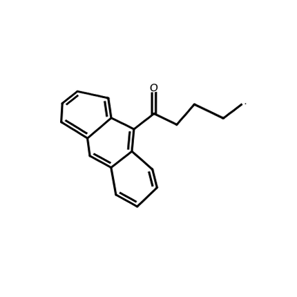 [CH2]CCCC(=O)c1c2ccccc2cc2ccccc12